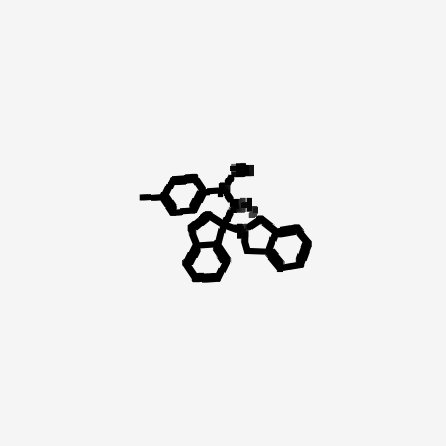 Cc1ccc(N([SiH2]C2(N3Cc4ccccc4C3)C=Cc3ccccc32)C(C)(C)C)cc1